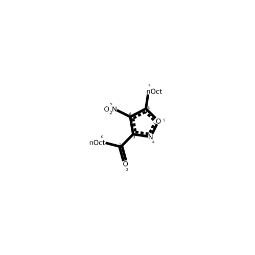 CCCCCCCCC(=O)c1noc(CCCCCCCC)c1[N+](=O)[O-]